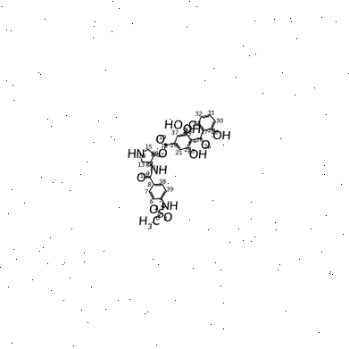 CS(=O)(=O)Nc1ccc(C(=O)N[C@H]2CNC[C@@H]2OC(=O)c2cc(O)c(C(=O)c3c(O)cccc3C(=O)O)c(O)c2)cc1